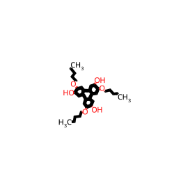 CCCCCOc1cc2c(cc1O)c1cc(OCCCCC)c(O)cc1c1cc(OCCCCC)c(O)cc21